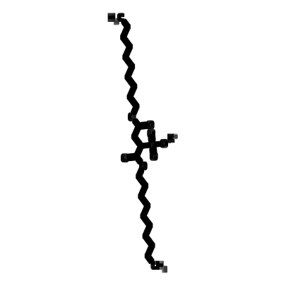 CCCCCCCCCCOC(=O)CC(C(=O)OCCCCCCCCCC)S(=O)(=O)[O-].[K+]